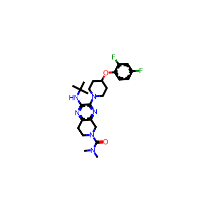 CN(C)C(=O)N1CCc2nc(NC(C)(C)C)c(N3CCC(Oc4ccc(F)cc4F)CC3)nc2C1